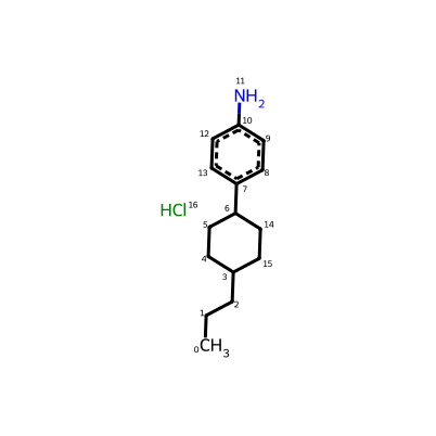 CCCC1CCC(c2ccc(N)cc2)CC1.Cl